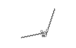 CCCCCCCCCCCCCCCCOCC(CO)OPC(=O)CCCCCCCCCCCCCCC